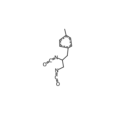 Cc1ccc(CC(CN=C=O)N=C=O)cc1